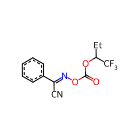 CCC(OC(=O)ON=C(C#N)c1ccccc1)C(F)(F)F